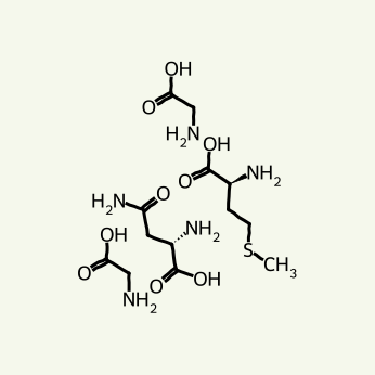 CSCC[C@H](N)C(=O)O.NC(=O)C[C@H](N)C(=O)O.NCC(=O)O.NCC(=O)O